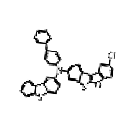 Clc1ccc2oc3sc4cc(N(c5ccc(-c6ccccc6)cc5)c5ccc6sc7ccccc7c6c5)ccc4c3c2c1